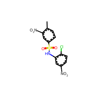 Cc1ccc(S(=O)(=O)Nc2cc([N+](=O)[O-])ccc2Cl)cc1[N+](=O)[O-]